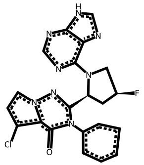 O=c1c2c(Cl)ccn2nc([C@@H]2C[C@H](F)CN2c2ncnc3[nH]cnc23)n1-c1ccccc1